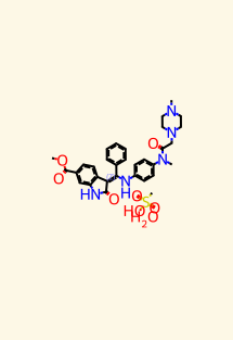 COC(=O)c1ccc2c(c1)NC(=O)/C2=C(\Nc1ccc(N(C)C(=O)CN2CCN(C)CC2)cc1)c1ccccc1.CS(=O)(=O)O.O